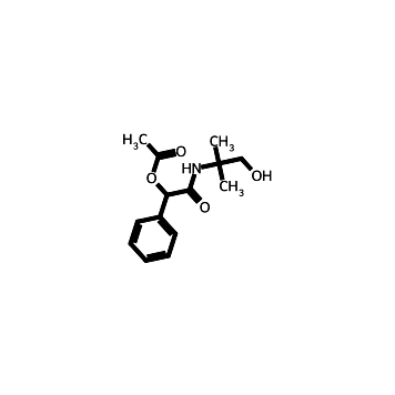 CC(=O)OC(C(=O)NC(C)(C)CO)c1ccccc1